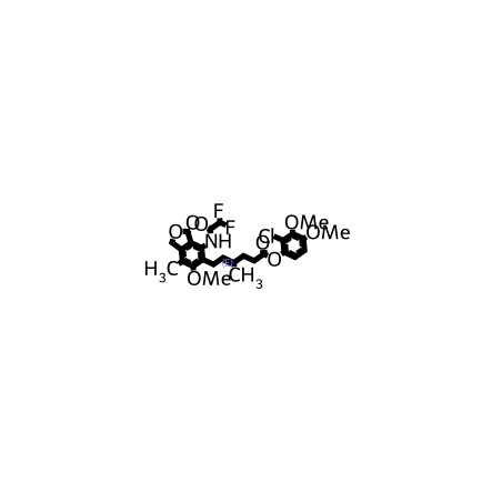 COc1ccc(OC(=O)CC/C(C)=C/Cc2c(NC(=O)C(F)F)c3c(c(C)c2OC)COC3=O)c(Cl)c1OC